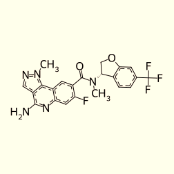 CN(C(=O)c1cc2c(cc1F)nc(N)c1cnn(C)c12)[C@@H]1COc2cc(C(F)(F)F)ccc21